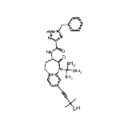 BC(B)(B)N1C(=O)C(NC(=O)c2n[nH]c(Cc3ccccc3)n2)CCc2ccc(C#CC(C)(C)O)cc21